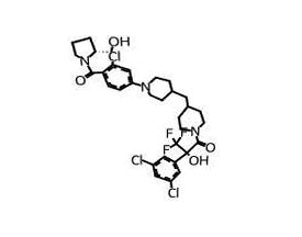 O=C(c1ccc(N2CCC(CC3CCN(C(=O)[C@](O)(c4cc(Cl)cc(Cl)c4)C(F)(F)F)CC3)CC2)cc1Cl)N1CCC[C@@H]1CO